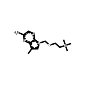 Cc1cn(COCC[Si](C)(C)C)c2ncc(N)nc12